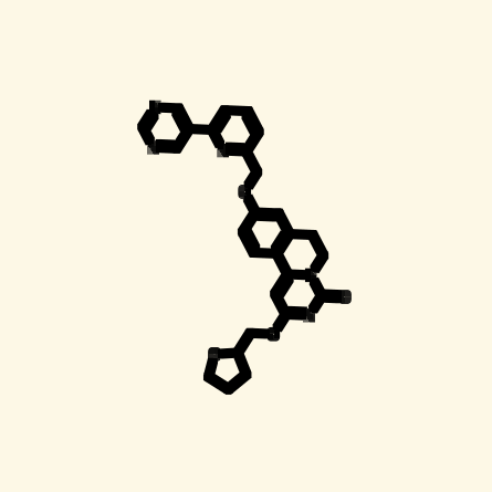 O=c1nc(OCC2CCCO2)cc2n1CCc1cc(OCc3cccc(-c4cncnc4)n3)ccc1-2